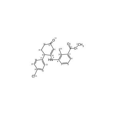 COC(=O)c1cccc(NC2=CC(=O)CCC2c2ccc(Cl)cc2)c1I